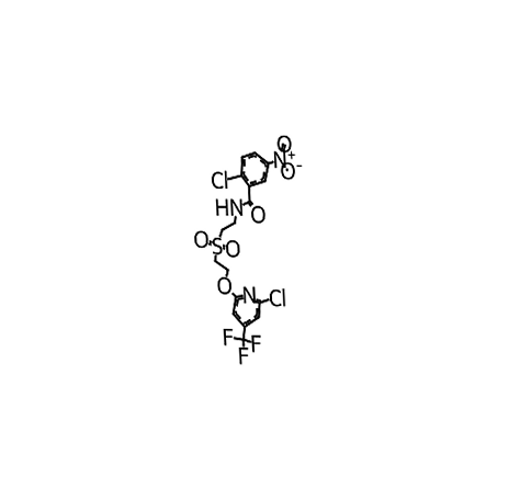 O=C(NCCS(=O)(=O)CCOc1cc(C(F)(F)F)cc(Cl)n1)c1cc([N+](=O)[O-])ccc1Cl